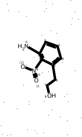 Nc1cccc(CCO)c1[N+](=O)[O-]